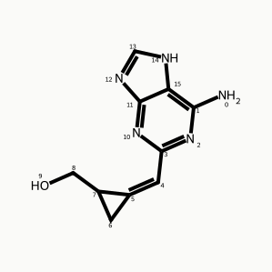 Nc1nc(C=C2CC2CO)nc2nc[nH]c12